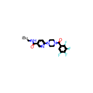 CCC(C)CNC(=O)c1ccc(N2CCN(C(=O)c3cc(F)c(F)c(F)c3F)CC2)nc1